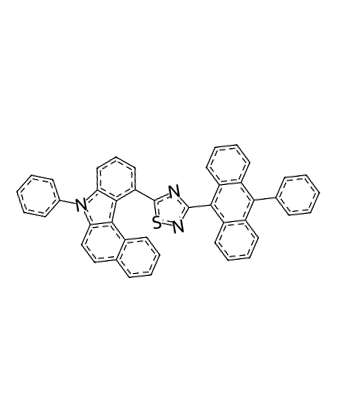 c1ccc(-c2c3ccccc3c(-c3nsc(-c4cccc5c4c4c6ccccc6ccc4n5-c4ccccc4)n3)c3ccccc23)cc1